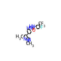 Cc1cc(-c2ccc(NC(=O)Nc3ccc(F)c(C(F)(F)F)c3)cc2)c2cnn(C)c2n1